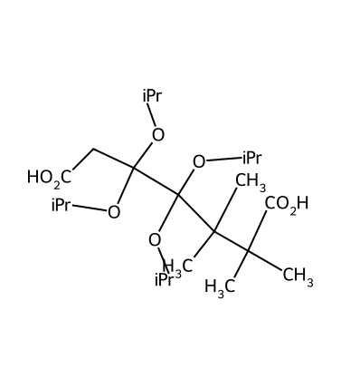 CC(C)OC(CC(=O)O)(OC(C)C)C(OC(C)C)(OC(C)C)C(C)(C)C(C)(C)C(=O)O